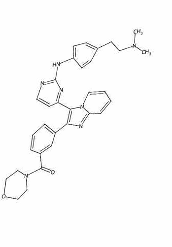 CN(C)CCc1ccc(Nc2nccc(-c3c(-c4cccc(C(=O)N5CCOCC5)c4)nc4ccccn34)n2)cc1